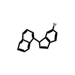 Brc1ccc2c(c1)C(c1cccc3ccccc13)C=C2